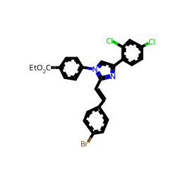 CCOC(=O)c1ccc(-n2cc(-c3ccc(Cl)cc3Cl)nc2/C=C/c2ccc(Br)cc2)cc1